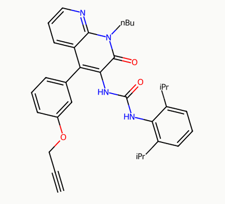 C#CCOc1cccc(-c2c(NC(=O)Nc3c(C(C)C)cccc3C(C)C)c(=O)n(CCCC)c3ncccc23)c1